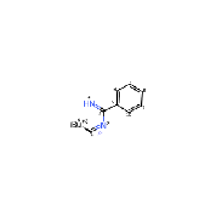 CC[C@H](C)/C=N\C(=N)c1ccccc1